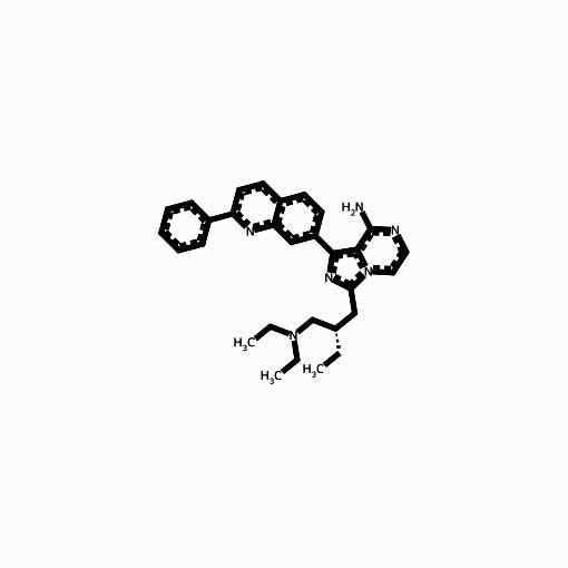 CC[C@@H](Cc1nc(-c2ccc3ccc(-c4ccccc4)nc3c2)c2c(N)nccn12)CN(CC)CC